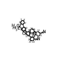 CC1(C)c2ccccc2-c2cc3c(cc21)oc1cc(-c2cccc(C#N)c2-n2c4c(c5c2CCC(C#N)=C5)C=CCC4)ccc13